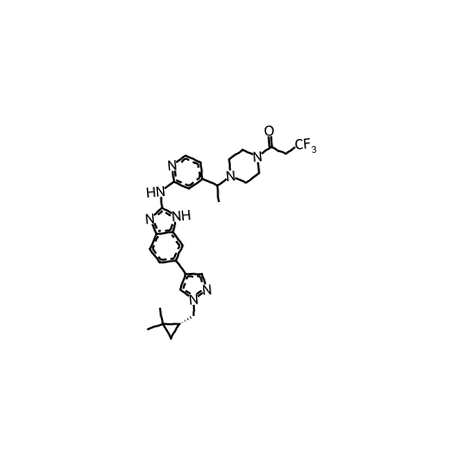 CC(c1ccnc(Nc2nc3ccc(-c4cnn(C[C@@H]5CC5(C)C)c4)cc3[nH]2)c1)N1CCN(C(=O)CC(F)(F)F)CC1